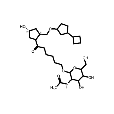 CC(=O)NC1C(OCCCCCC(=O)C2C[C@H](O)C[C@H]2COC2CCC(C3CCC3)C2)OC(CO)C(O)C1O